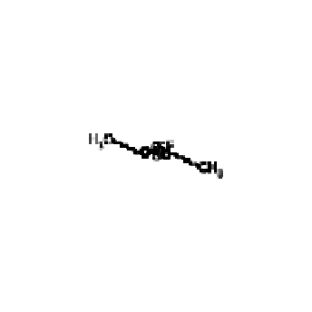 CCCCCCCCCc1ccc(C(=O)Oc2ccc(CCCCCCCCC)c(F)c2F)cc1